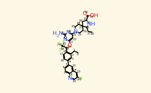 CCc1cc(-c2ccc3ncc(F)cc3c2)ccc1[C@@H](Oc1cc(N2CCC3(CC2)CC(C(=O)O)NC3CC)nc(N)n1)C(F)(F)F